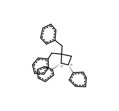 c1ccc(CC2(Cc3ccccc3)C[C@H](c3ccccc3)[C@@H]2c2ccccc2)cc1